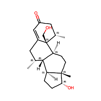 C[C@@H]1CC2=CC(=O)C[C@H](C)[C@]2(CO)[C@H]2CC[C@]3(C)[C@H](O)CC[C@H]3[C@H]12